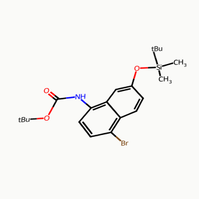 CC(C)(C)OC(=O)Nc1ccc(Br)c2ccc(O[Si](C)(C)C(C)(C)C)cc12